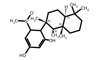 C[C@@H]1[C@@]2(C)CCCC(C)(C)[C@@H]2CC[C@@]1(C)C1C(O)=CC(O)=CC1[S+](C)[O-]